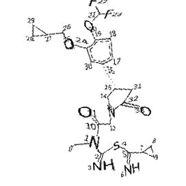 CN(C(=N)SC(=N)C1CC1)C(=O)CN1C[C@H](c2ccc(OC(F)F)c(OCC3CC3)c2)CC1=O